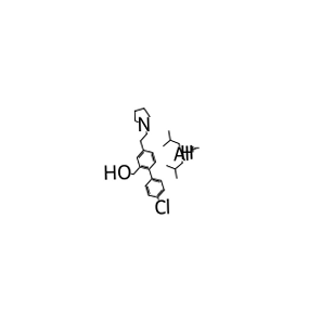 CC(C)[CH2][Al+][CH2]C(C)C.OCc1cc(CCN2CCCC2)ccc1-c1ccc(Cl)cc1.[H-]